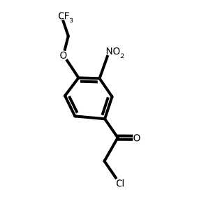 O=C(CCl)c1ccc(OCC(F)(F)F)c([N+](=O)[O-])c1